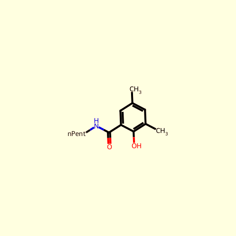 CCCCCNC(=O)c1cc(C)cc(C)c1O